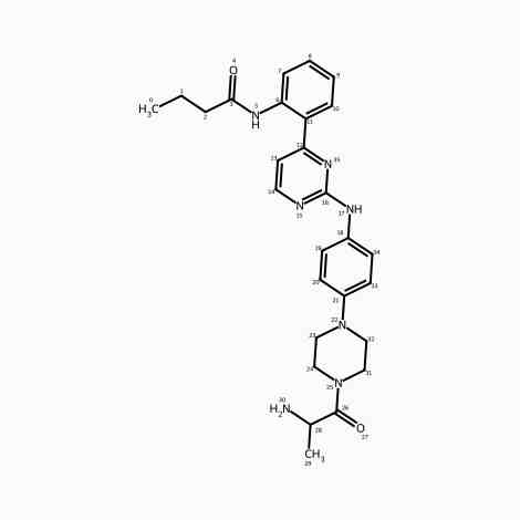 CCCC(=O)Nc1ccccc1-c1ccnc(Nc2ccc(N3CCN(C(=O)C(C)N)CC3)cc2)n1